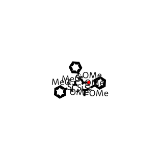 CO[Si](OC)(c1ccccc1)C(C)[Si](C)(C(C)[Si](OC)(OC)c1ccccc1)C(C)[Si](OC)(OC)c1ccccc1